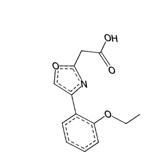 CCOc1ccccc1-c1coc(CC(=O)O)n1